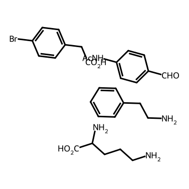 CC(=O)Nc1ccc(C=O)cc1.NCCCC(N)C(=O)O.NCCc1ccccc1.O=C(O)Cc1ccc(Br)cc1